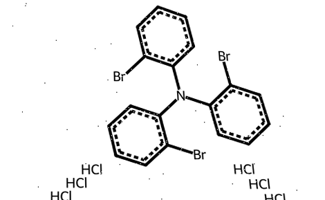 Brc1ccccc1N(c1ccccc1Br)c1ccccc1Br.Cl.Cl.Cl.Cl.Cl.Cl